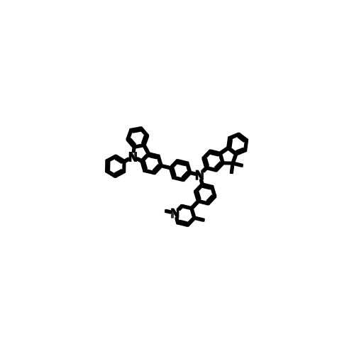 CC1C=CN(C)CC1c1cccc(N(c2ccc(-c3ccc4c(c3)c3ccccc3n4-c3ccccc3)cc2)c2ccc3c(c2)C(C)(C)c2ccccc2-3)c1